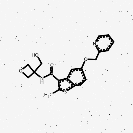 Cc1sc2ccc(OCc3ccccn3)cc2c1C(=O)NC1(CO)COC1